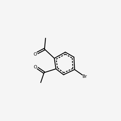 CC(=O)c1ccc(Br)cc1C(C)=O